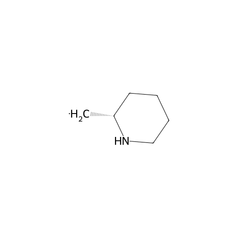 [CH2][C@@H]1CCCCN1